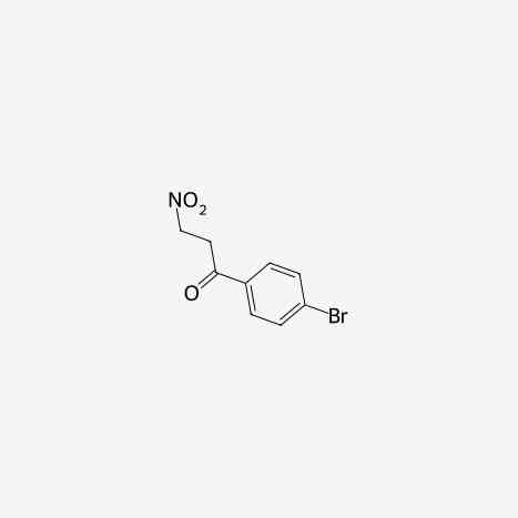 O=C(CC[N+](=O)[O-])c1ccc(Br)cc1